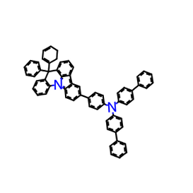 C1=CCCC(C2(c3ccccc3)c3ccccc3-n3c4ccc(-c5ccc(N(c6ccc(-c7ccccc7)cc6)c6ccc(-c7ccccc7)cc6)cc5)cc4c4cccc2c43)=C1